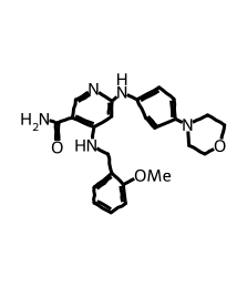 COc1ccccc1CNc1cc(Nc2ccc(N3CCOCC3)cc2)ncc1C(N)=O